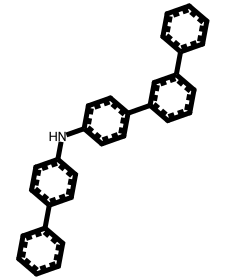 c1ccc(-c2ccc(Nc3ccc(-c4cccc(-c5ccccc5)c4)cc3)cc2)cc1